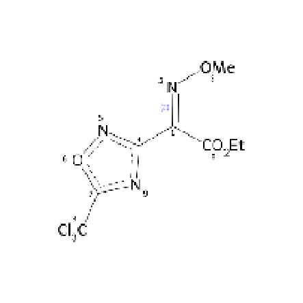 CCOC(=O)/C(=N\OC)c1noc(C(Cl)(Cl)Cl)n1